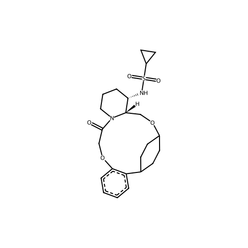 O=C1COc2ccccc2C2CCC(CC2)OC[C@H]2[C@@H](NS(=O)(=O)C3CC3)CCCN12